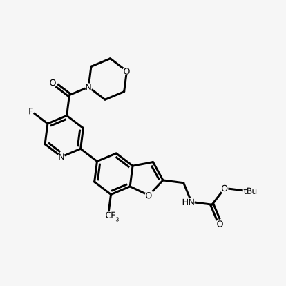 CC(C)(C)OC(=O)NCc1cc2cc(-c3cc(C(=O)N4CCOCC4)c(F)cn3)cc(C(F)(F)F)c2o1